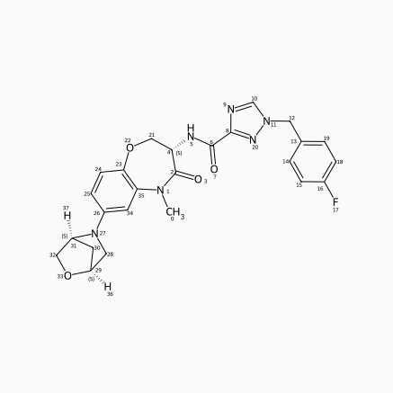 CN1C(=O)[C@@H](NC(=O)c2ncn(Cc3ccc(F)cc3)n2)COc2ccc(N3C[C@@H]4C[C@H]3CO4)cc21